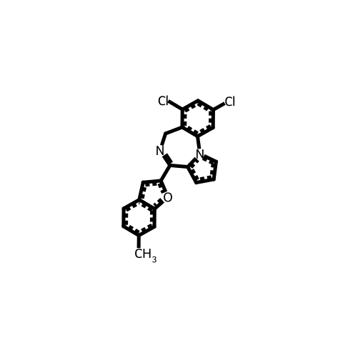 Cc1ccc2cc(C3=NCc4c(Cl)cc(Cl)cc4-n4cccc43)oc2c1